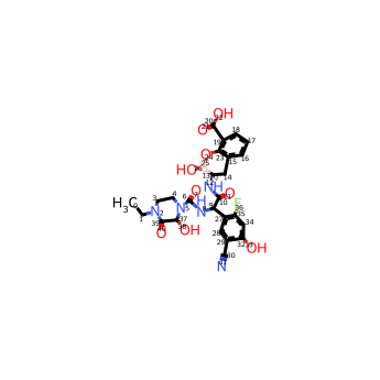 CCN1CCN(C(=O)NC(C(=O)N[C@H]2Cc3cccc(C(=O)O)c3OB2O)c2cc(C#N)c(O)cc2F)C(O)C1=O